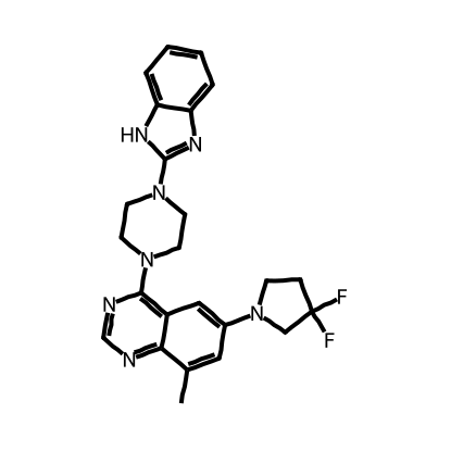 Cc1cc(N2CCC(F)(F)C2)cc2c(N3CCN(c4nc5ccccc5[nH]4)CC3)ncnc12